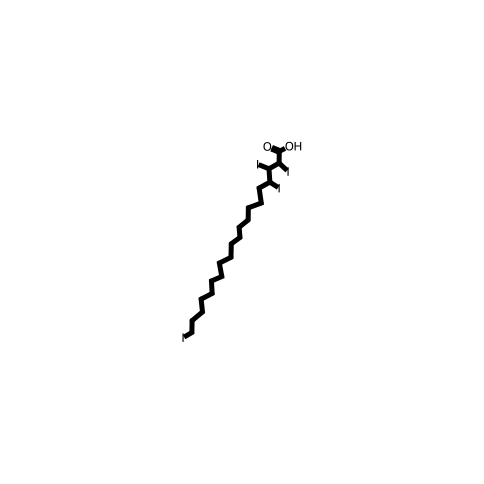 O=C(O)C(I)C(I)C(I)CCCCCCCCCCCCCCCCI